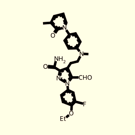 CCOc1ccc(-n2nc(C(N)=O)c(CCN(C)c3ccc(-n4cccc(C)c4=O)cc3)c2C=O)cc1F